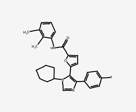 Cc1cccc(NC(=O)c2ccc(-c3c(-c4ccc(F)cc4)ncn3C3CCCCC3)o2)c1C